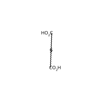 O=C(O)CCCCCCCCCCCCCCCCSSCCCCCCCCCCCCCCCCC(=O)O